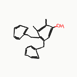 Cc1c(O)cc(Cc2ccccc2)c(Cc2ccccc2)c1C